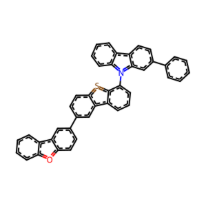 c1ccc(-c2ccc3c4ccccc4n(-c4cccc5c4sc4ccc(-c6ccc7oc8ccccc8c7c6)cc45)c3c2)cc1